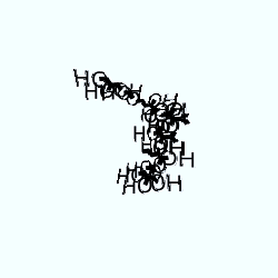 CC(C)C(O)C(=O)O.CC(C)C(O)C(=O)O.CCCC(O)C(=O)O.CCCC(O)C(=O)O.O=CO.O=CO.OCC(O)CO.OCC(O)CO